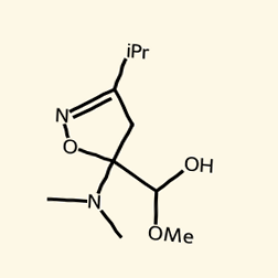 COC(O)C1(N(C)C)CC(C(C)C)=NO1